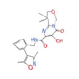 Cc1noc(C)c1-c1ccccc1CNC(=O)c1nc2n(c(=O)c1O)COCC2(C)C